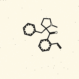 C=Cc1ccccc1C(=O)C1(Cc2ccccc2)CCCN1C